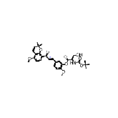 COc1ccc(/C=C/C(=O)c2ccc(OC)c3c2OC(C)(C)C=C3)cc1OC(=O)C(CO)NC(=O)OC(C)(C)C